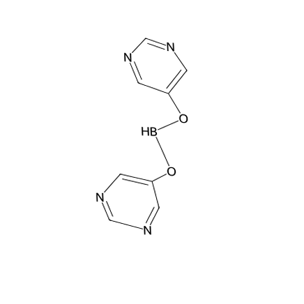 B(Oc1cncnc1)Oc1cncnc1